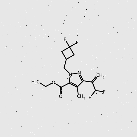 C=C(c1nn(CC2CC(F)(F)C2)c(C(=O)OCC)c1C)C(F)F